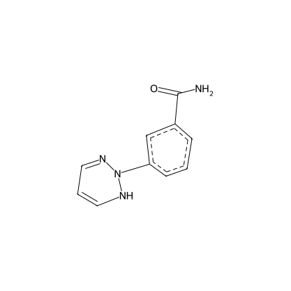 NC(=O)c1cccc(N2N=CC=CN2)c1